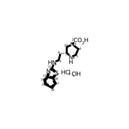 Cl.Cl.O=C(O)N1CCN[C@H](CCNc2nc3ccccc3s2)C1